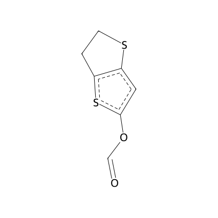 O=COc1cc2c(s1)CCS2